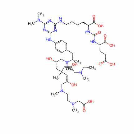 CCN(C)C/C(O)=C\[C@](C)(/C=C(/O)CN(C)CCN(C)CC(=O)O)/C=C(/O)CN(C)C(C)Cc1ccc(Nc2nc(NCCCC[C@H](NC(=O)N[C@@H](CCC(=O)O)C(=O)O)C(=O)O)nc(N(C)C)n2)cc1